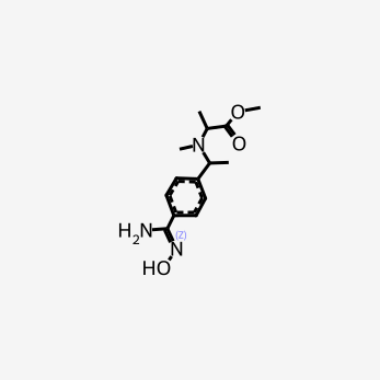 COC(=O)C(C)N(C)C(C)c1ccc(/C(N)=N/O)cc1